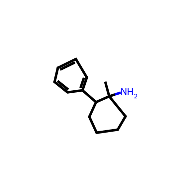 CC1(N)CCCCC1c1ccccc1